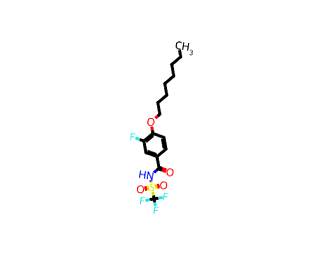 CCCCCCCCOc1ccc(C(=O)NS(=O)(=O)C(F)(F)F)cc1F